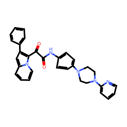 O=C(Nc1ccc(N2CCN(c3ccccn3)CC2)cc1)C(=O)c1c(-c2ccccc2)cc2ccccn12